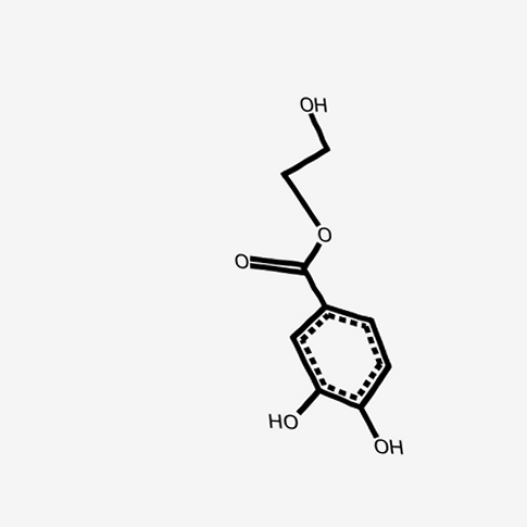 O=C(OCCO)c1ccc(O)c(O)c1